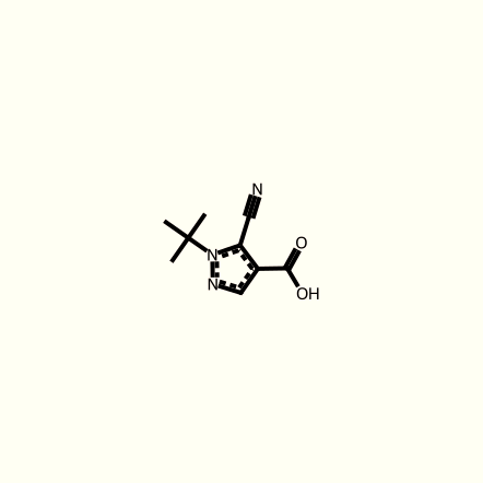 CC(C)(C)n1ncc(C(=O)O)c1C#N